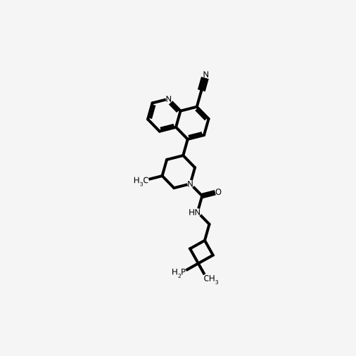 CC1CC(c2ccc(C#N)c3ncccc23)CN(C(=O)NCC2CC(C)(P)C2)C1